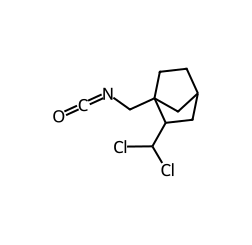 O=C=NCC12CCC(CC1C(Cl)Cl)C2